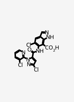 O=C(O)c1c(NC(=O)c2cc(Cl)nn2-c2ncccc2Cl)c(Cl)cc2cn[nH]c12